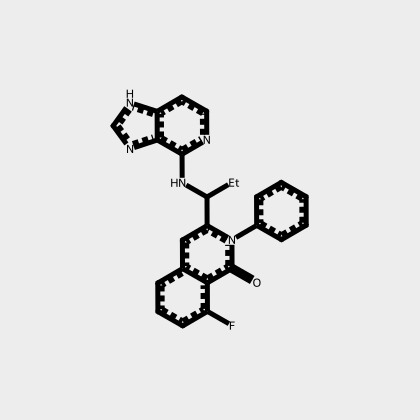 CCC(Nc1nccc2[nH]cnc12)c1cc2cccc(F)c2c(=O)n1-c1ccccc1